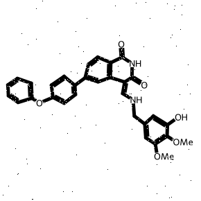 COc1cc(CNC=C2C(=O)NC(=O)c3ccc(-c4ccc(Oc5ccccc5)cc4)cc32)cc(O)c1OC